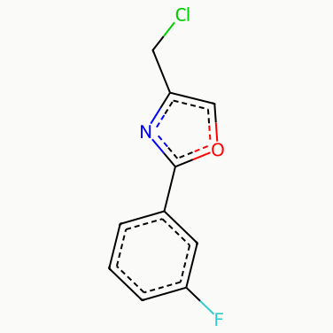 Fc1cccc(-c2nc(CCl)co2)c1